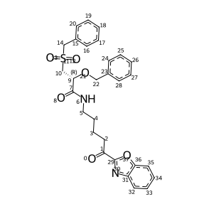 O=C(CCCCNC(=O)[C@H](CS(=O)(=O)Cc1ccccc1)OCc1ccccc1)c1nc2ccccc2o1